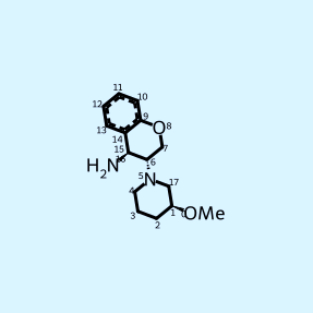 CO[C@H]1CCCN([C@H]2COc3ccccc3[C@@H]2N)C1